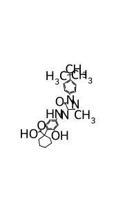 CC1=NN(c2ccc(C(C)(C)C)cc2)C(=O)C1=NNc1ccc(C2(C(=O)O)CCCCC2)c(O)c1